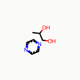 CC(O)CO.c1cnccn1